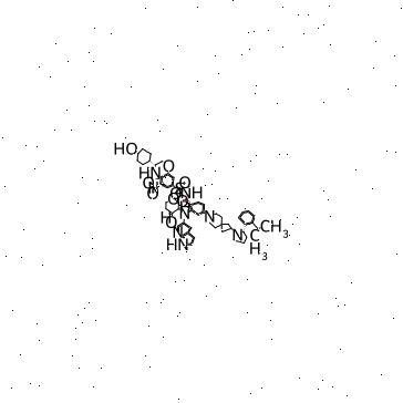 CC(C)c1ccccc1[C@@H]1CCCN1C1CC2(CCN(c3ccc(C(=O)NS(=O)(=O)c4cc5c(c([N+](=O)[O-])c4)N[C@H](C4CCC(O)CC4)CO5)c(N4c5cc6cc[nH]c6nc5O[C@H]5CCOC[C@H]54)c3)CC2)C1